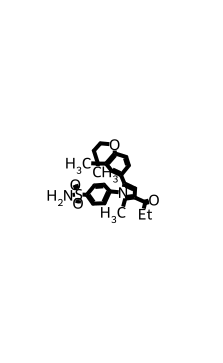 CCC(=O)c1cc(-c2ccc3c(c2)C(C)(C)CCO3)n(-c2ccc(S(N)(=O)=O)cc2)c1C